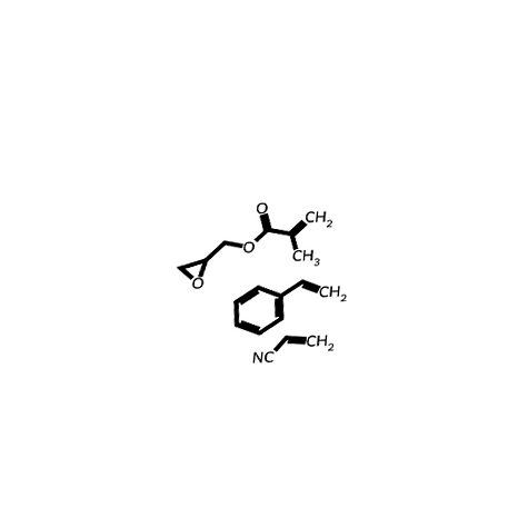 C=C(C)C(=O)OCC1CO1.C=CC#N.C=Cc1ccccc1